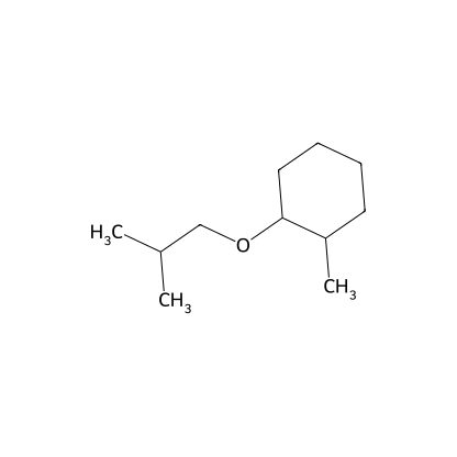 CC(C)COC1CCCCC1C